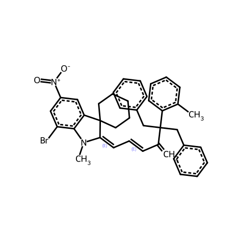 C=C(/C=C/C=C1/N(C)c2c(Br)cc([N+](=O)[O-])cc2C12CCCCC2)C(Cc1ccccc1)(Cc1ccccc1)c1ccccc1C